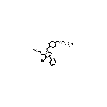 N#CCCc1c(Br)c(-c2ccccc2)nn1CC1CCC(COCC(=O)O)CC1